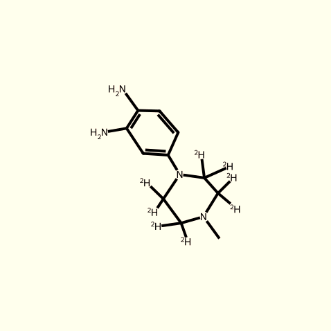 [2H]C1([2H])N(C)C([2H])([2H])C([2H])([2H])N(c2ccc(N)c(N)c2)C1([2H])[2H]